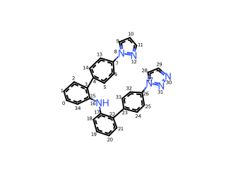 c1ccc(-c2ccc(-n3cccn3)cc2)c(Nc2ccccc2-c2ccc(-n3ccnn3)cc2)c1